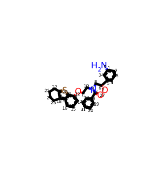 Nc1cccc(C(=O)CN(CCOc2cccc3c4c(sc23)CCCC4)C(=O)c2ccccc2)c1